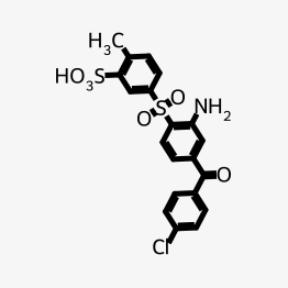 Cc1ccc(S(=O)(=O)c2ccc(C(=O)c3ccc(Cl)cc3)cc2N)cc1S(=O)(=O)O